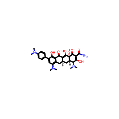 CN(C)c1ccc(-c2cc(N(C)C)c3c(c2O)C(=O)C2=C(O)[C@]4(O)C(=O)C(C(N)=O)=C(O)[C@@H](N(C)C)[C@@H]4C[C@@H]2C3)cc1